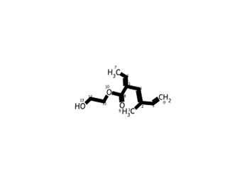 C=CC(C)=CC(=CC)C(=O)OCCO